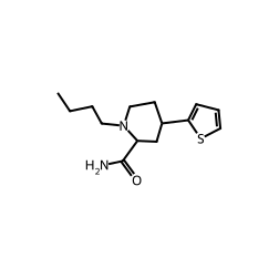 CCCCN1CCC(c2cccs2)CC1C(N)=O